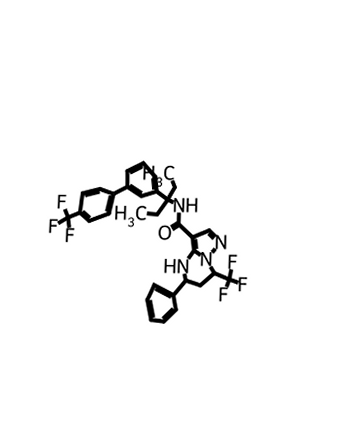 CCC(CC)(NC(=O)c1cnn2c1NC(c1ccccc1)CC2C(F)(F)F)c1cccc(-c2ccc(C(F)(F)F)cc2)c1